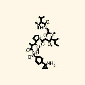 CCC(C)C(C(CC(=O)N1CCCC1C(OC)C(C)C(=O)N[S+]([O-])c1ccc(C2(N)CC2)cc1)OC)N(C)C(=O)CNC(=O)C(C(C)C)N(C)C